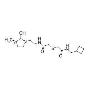 C[C@@H]1CCN(CCNC(=O)CSCC(=O)NCC2CCC2)C1O